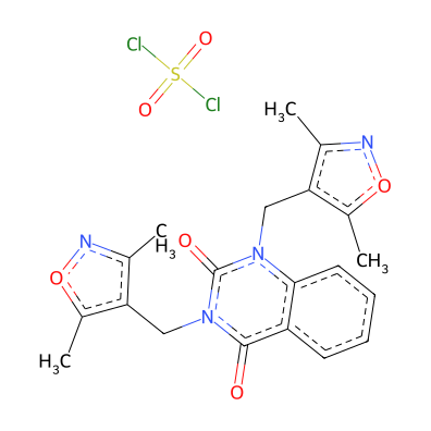 Cc1noc(C)c1Cn1c(=O)c2ccccc2n(Cc2c(C)noc2C)c1=O.O=S(=O)(Cl)Cl